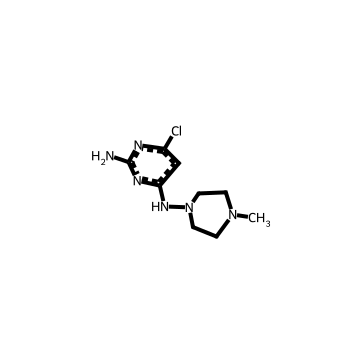 CN1CCN(Nc2cc(Cl)nc(N)n2)CC1